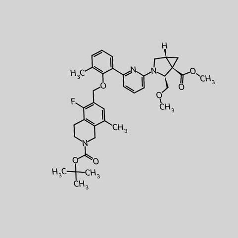 COC[C@H]1N(c2cccc(-c3cccc(C)c3OCc3cc(C)c4c(c3F)CCN(C(=O)OC(C)(C)C)C4)n2)C[C@@H]2C[C@@]21C(=O)OC